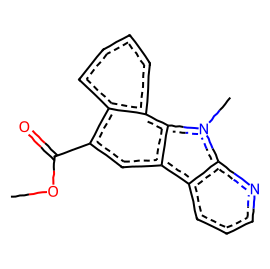 COC(=O)c1cc2c3cccnc3n(C)c2c2ccccc12